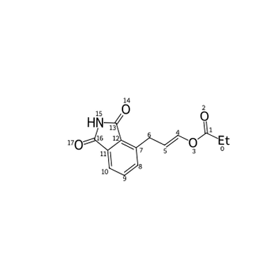 CCC(=O)OC=CCc1cccc2c1C(=O)NC2=O